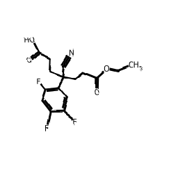 CCOC(=O)CCC(C#N)(CCC(=O)O)c1cc(F)c(F)cc1F